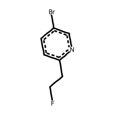 FCCc1ccc(Br)cn1